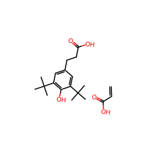 C=CC(=O)O.CC(C)(C)c1cc(CCC(=O)O)cc(C(C)(C)C)c1O